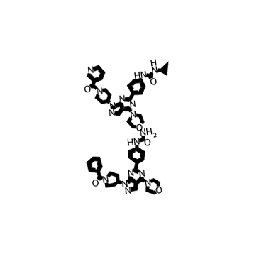 NC(=O)Nc1ccc(-c2nc(N3CCOCC3)c3cnn(C4CCN(C(=O)c5ccccc5)CC4)c3n2)cc1.O=C(Nc1ccc(-c2nc(N3CCOCC3)c3cnn(C4CCN(C(=O)c5cccnc5)CC4)c3n2)cc1)NC1CC1